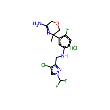 CC1(c2cc(NCc3nn(C(F)F)cc3Cl)ccc2F)COCC(N)=N1.Cl